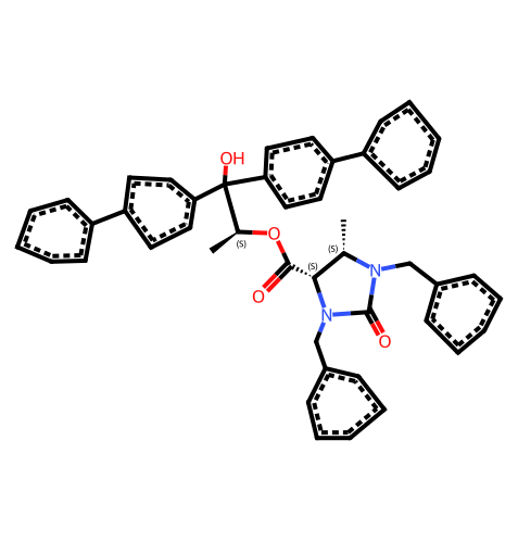 C[C@H](OC(=O)[C@@H]1[C@H](C)N(Cc2ccccc2)C(=O)N1Cc1ccccc1)C(O)(c1ccc(-c2ccccc2)cc1)c1ccc(-c2ccccc2)cc1